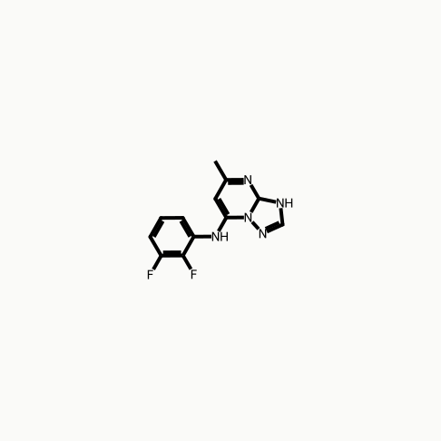 CC1=NC2NC=NN2C(Nc2cccc(F)c2F)=C1